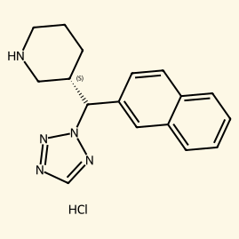 Cl.c1ccc2cc(C([C@H]3CCCNC3)n3ncnn3)ccc2c1